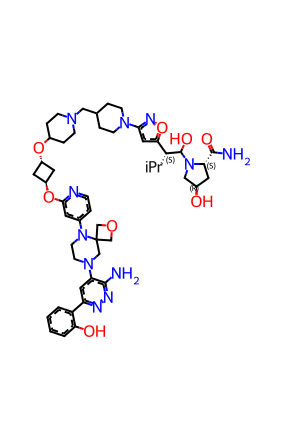 CC(C)[C@H](c1cc(N2CCC(CN3CCC(O[C@H]4C[C@H](Oc5cc(N6CCN(c7cc(-c8ccccc8O)nnc7N)CC67COC7)ccn5)C4)CC3)CC2)no1)C(O)N1C[C@H](O)C[C@H]1C(N)=O